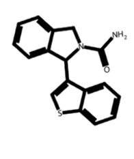 NC(=O)N1Cc2ccccc2C1c1csc2ccccc12